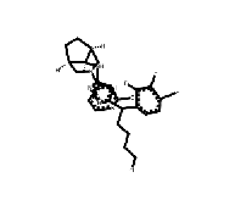 Fc1ccc(C(CCCCCl)c2nnc(N[C@H]3[C@@H]4CC[C@H]3CN(c3ccnc(C(F)(F)F)c3)C4)[nH]2)c(F)c1F